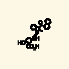 Cc1c(C(=O)c2cccc3ccccc23)c2ccccc2n1CCNc1ccc(O)c(C(=O)O)c1